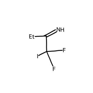 CCC(=N)C(F)(F)I